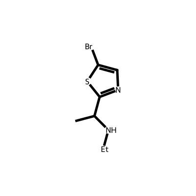 CCNC(C)c1ncc(Br)s1